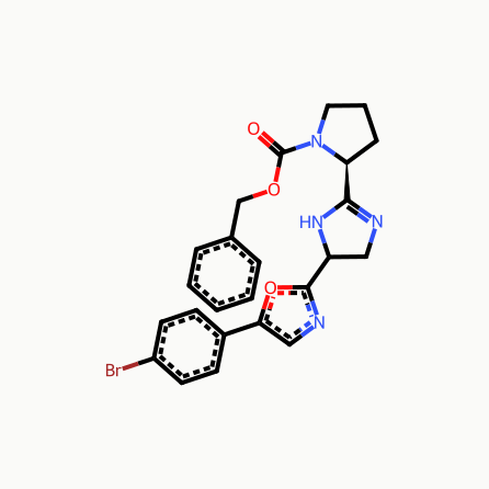 O=C(OCc1ccccc1)N1CCC[C@H]1C1=NCC(c2ncc(-c3ccc(Br)cc3)o2)N1